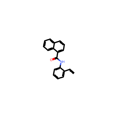 C=Cc1ccccc1NC(=O)c1cccc2ccccc12